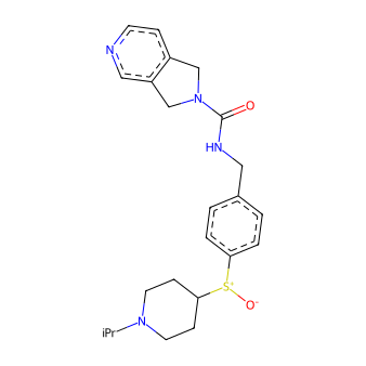 CC(C)N1CCC([S+]([O-])c2ccc(CNC(=O)N3Cc4ccncc4C3)cc2)CC1